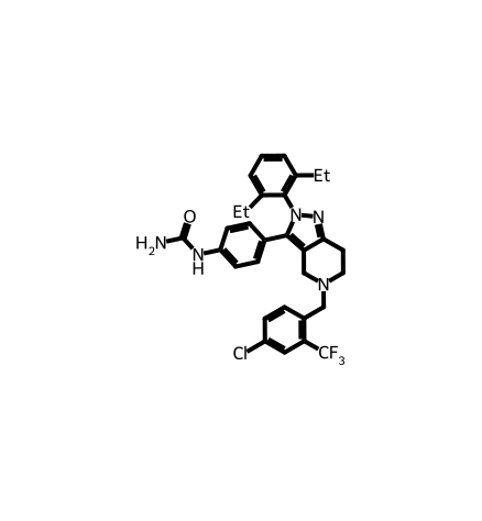 CCc1cccc(CC)c1-n1nc2c(c1-c1ccc(NC(N)=O)cc1)CN(Cc1ccc(Cl)cc1C(F)(F)F)CC2